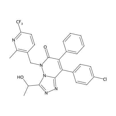 Cc1nc(C(F)(F)F)ccc1Cn1c(=O)c(-c2ccccc2)c(-c2ccc(Cl)cc2)c2nnc(C(C)O)n21